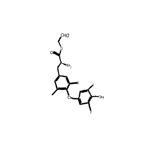 Cc1cc(C[C@H](N)C(=O)OCC=O)cc(I)c1Oc1cc(I)c(O)c(I)c1